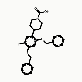 O=C(O)N1CCC(c2cc(F)c(OCc3ccccc3)cc2OCc2ccccc2)CC1